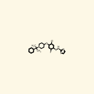 CC(C)(c1ccccc1)N1CCC(Oc2cc(F)c(SNc3nccs3)cc2Cl)CC1